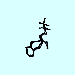 COC1(CO[Si](C)(C)C(C)(C)C)C=c2ccccc2=N1